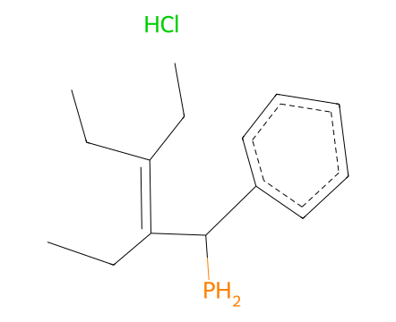 CCC(CC)=C(CC)C(P)c1ccccc1.Cl